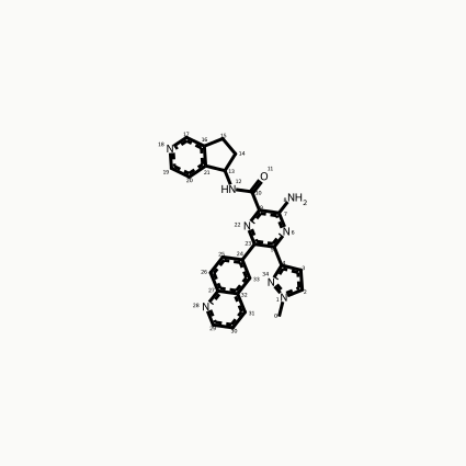 Cn1ccc(-c2nc(N)c(C(=O)NC3CCc4cnccc43)nc2-c2ccc3ncccc3c2)n1